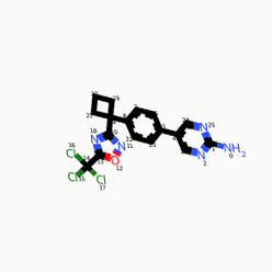 Nc1ncc(-c2ccc(C3(c4noc(C(Cl)(Cl)Cl)n4)CCC3)cc2)cn1